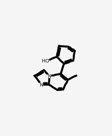 Cc1ccc2nccn2c1-c1ccccc1O